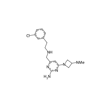 CNC1CN(c2cc(CNCCc3cccc(Cl)c3)nc(N)n2)C1